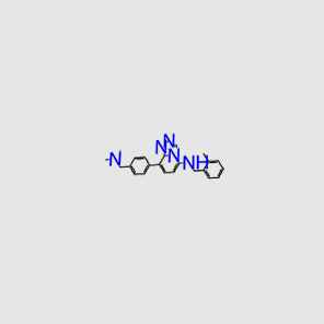 Cc1ccccc1CNc1ccc(-c2ccc(CN(C)C)cc2)c2nncn12